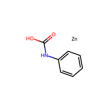 O=C(O)Nc1ccccc1.[Zn]